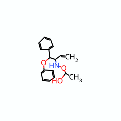 C=CC(NOC(C)O)C(Oc1ccccc1)c1ccccc1